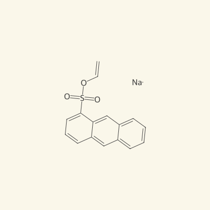 C=COS(=O)(=O)c1cccc2cc3ccccc3cc12.[Na]